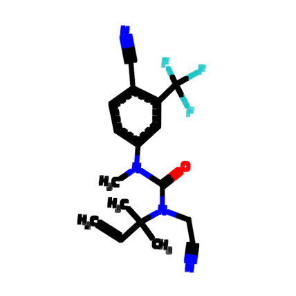 C=CC(C)(C)N(CC#N)C(=O)N(C)c1ccc(C#N)c(C(F)(F)F)c1